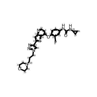 O=C(Nc1ccc(Oc2ccnc3cc(-c4cn(CCCN5CCOCC5)nn4)sc23)c(F)c1)NC1CC1